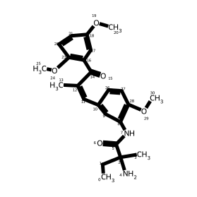 CCC(C)(N)C(=O)Nc1cc(C=C(C)C(=O)c2cc(OC)ccc2OC)ccc1OC